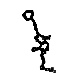 COCCn1ccc2c(c1=O)SC(C#Cc1ccccc1)N2